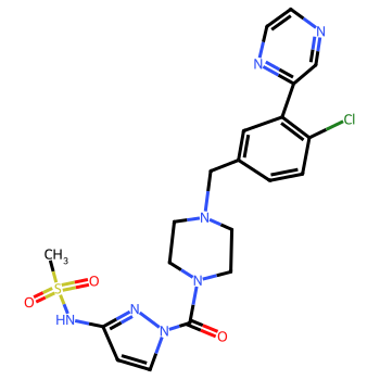 CS(=O)(=O)Nc1ccn(C(=O)N2CCN(Cc3ccc(Cl)c(-c4cnccn4)c3)CC2)n1